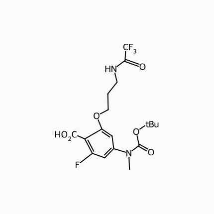 CN(C(=O)OC(C)(C)C)c1cc(F)c(C(=O)O)c(OCCCNC(=O)C(F)(F)F)c1